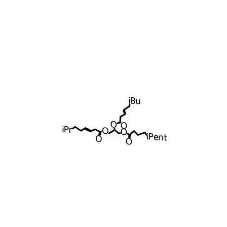 CCCC(C)CCCC(=O)OCC(COC(=O)C/C=C/CCC(C)C)OC(=O)C/C=C/CC(C)CC